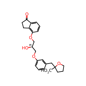 O=C1CCc2c(OC[C@H](O)COc3cccc(CC4(C(=O)O)CCCO4)c3)cccc21